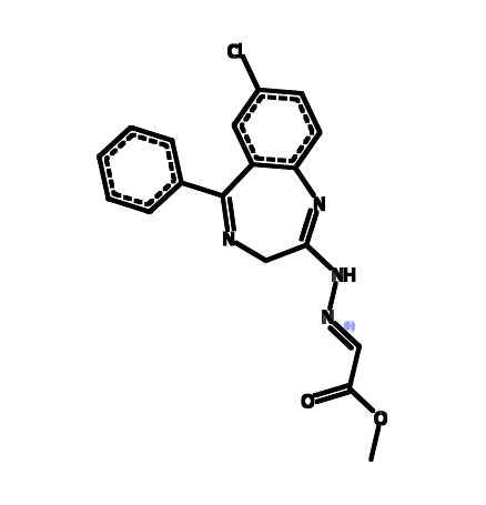 COC(=O)/C=N/NC1=Nc2ccc(Cl)cc2C(c2ccccc2)=NC1